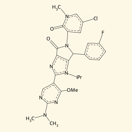 COc1nc(N(C)C)ncc1-c1nc2c(n1C(C)C)C(c1cccc(F)c1)N(c1cc(Cl)cn(C)c1=O)C2=O